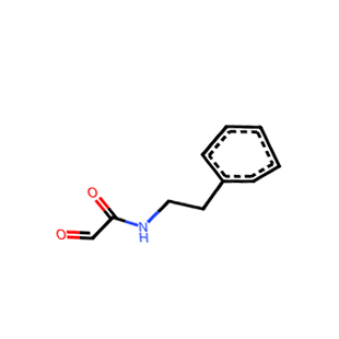 O=CC(=O)NCCc1ccccc1